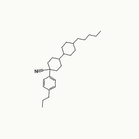 CCCCCC1CCC(C2CCC(C#N)(c3ccc(CCC)cc3)CC2)CC1